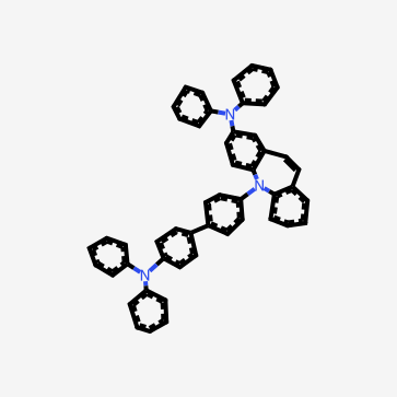 C1=Cc2cc(N(c3ccccc3)c3ccccc3)ccc2N(c2ccc(-c3ccc(N(c4ccccc4)c4ccccc4)cc3)cc2)c2ccccc21